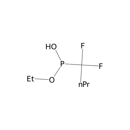 CCCC(F)(F)P(O)OCC